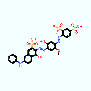 COc1cc(N=Nc2c(S(=O)(=O)O)cc3cc(Nc4ccccc4)ccc3c2O)c(O)cc1N=Nc1ccc(S(=O)(=O)O)cc1S(=O)(=O)O